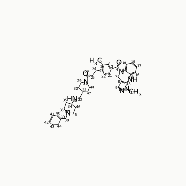 Cc1cc(C(=O)N2Cc3cnn(C)c3Nc3ccccc32)ccc1CCC(=O)N1CCC(CNC2CCN(Cc3ccccc3)CC2)CC1